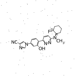 CN(c1ccc(-c2ccc(-n3cnc(C#N)c3)cc2O)nn1)[C@@H]1CCCC[C@@H]1F